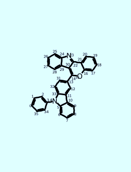 c1ccc(-n2c3ccccc3c3cc(-c4oc5ccccc5c5nc6ccccc6c4-5)ccc32)cc1